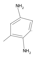 Cc1cc(N)c[c]c1N